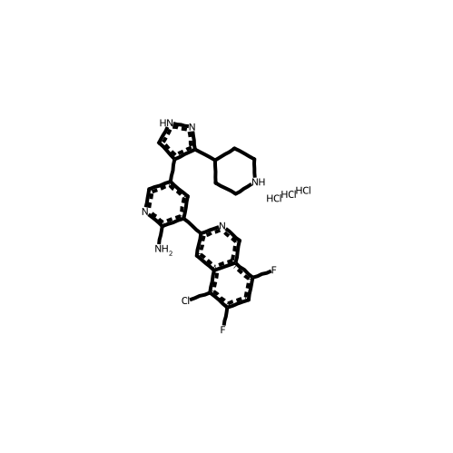 Cl.Cl.Cl.Nc1ncc(-c2c[nH]nc2C2CCNCC2)cc1-c1cc2c(Cl)c(F)cc(F)c2cn1